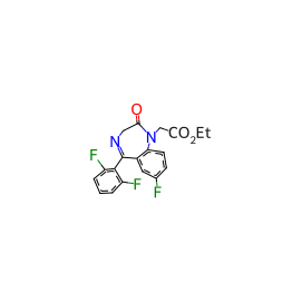 CCOC(=O)CN1C(=O)CN=C(c2c(F)cccc2F)c2cc(F)ccc21